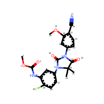 COC(=O)Nc1cc(N2C(=O)N(c3ccc(C#N)c(OC)c3)C(=O)C2(C)C)ccc1F